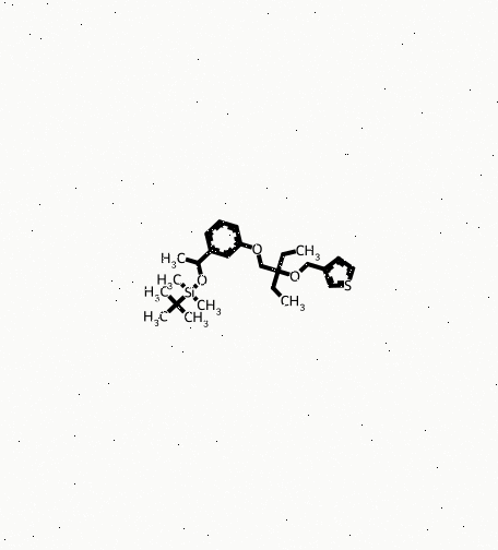 CCC(CC)(COc1cccc(C(C)O[Si](C)(C)C(C)(C)C)c1)OCc1ccsc1